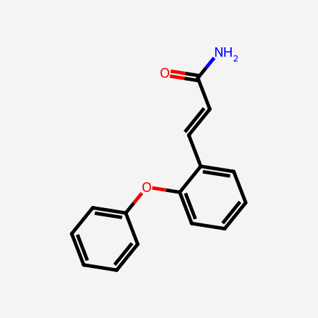 NC(=O)C=Cc1ccccc1Oc1ccccc1